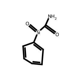 NC(=O)[Si](=O)c1ccccc1